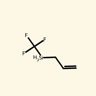 C=CC[SiH2]C(F)(F)F